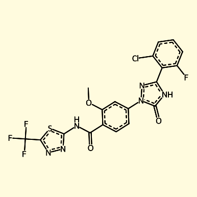 COc1cc(-n2nc(-c3c(F)cccc3Cl)[nH]c2=O)ccc1C(=O)Nc1nnc(C(F)(F)F)s1